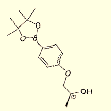 C[C@H](O)COc1ccc(B2OC(C)(C)C(C)(C)O2)cc1